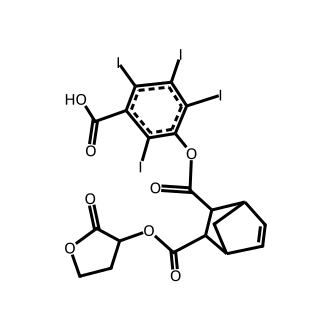 O=C(O)c1c(I)c(I)c(I)c(OC(=O)C2C3C=CC(C3)C2C(=O)OC2CCOC2=O)c1I